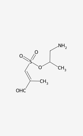 CC(C=O)=CS(=O)(=O)OC(C)CN